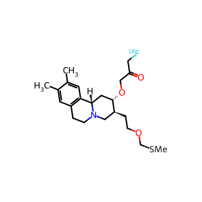 CSCOCC[C@H]1CN2CCc3cc(C)c(C)cc3[C@@H]2C[C@@H]1OCC(=O)C[18F]